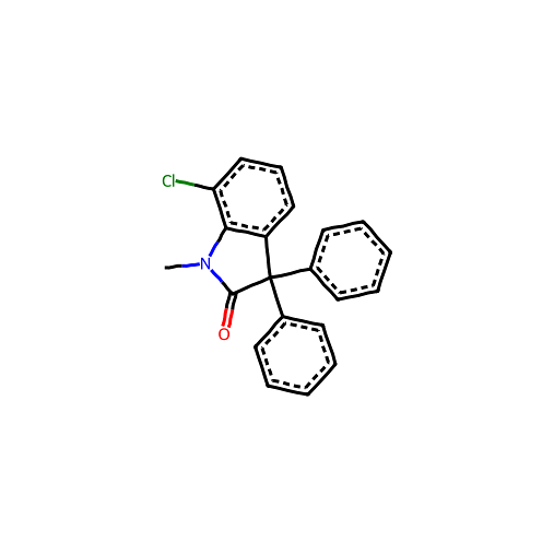 CN1C(=O)C(c2ccccc2)(c2ccccc2)c2cccc(Cl)c21